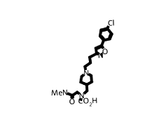 CNC(=O)CN(CC1CCN(CCCc2cc(-c3ccc(Cl)cc3)on2)CC1)C(=O)O